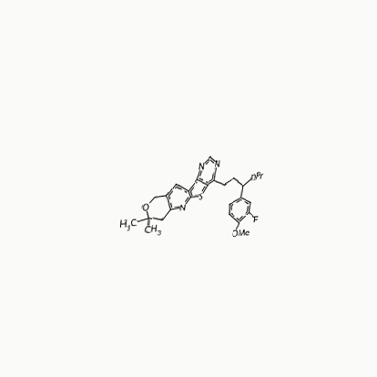 CCCC(CCc1ncnc2c1sc1nc3c(cc12)COC(C)(C)C3)c1ccc(OC)c(F)c1